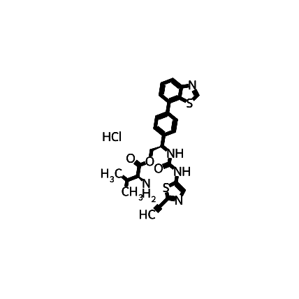 C#Cc1ncc(NC(=O)N[C@@H](COC(=O)[C@@H](N)C(C)C)c2ccc(-c3cccc4ncsc34)cc2)s1.Cl